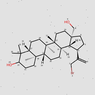 C=C(CBr)[C@@H]1CC[C@]2(CO)CC[C@]3(C)[C@H](CC[C@@H]4[C@@]5(C)CCC(O)C(C)(C)[C@@H]5CC[C@]43C)[C@@H]12